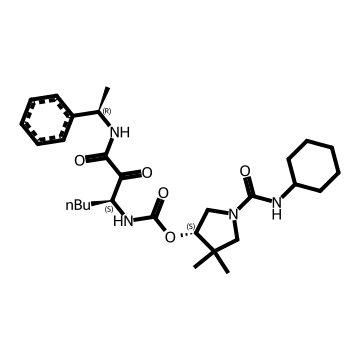 CCCC[C@H](NC(=O)O[C@@H]1CN(C(=O)NC2CCCCC2)CC1(C)C)C(=O)C(=O)N[C@H](C)c1ccccc1